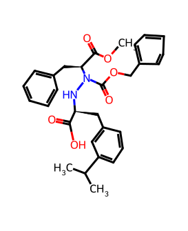 COC(=O)[C@H](Cc1ccccc1)N(N[C@@H](Cc1cccc(C(C)C)c1)C(=O)O)C(=O)OCc1ccccc1